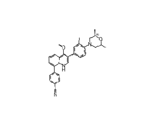 COC1=C2C=CC=C(c3ccc(C#N)cc3)C2NC=C1c1ccc(N2CC(C)O[C@H](C)C2)c(C)c1